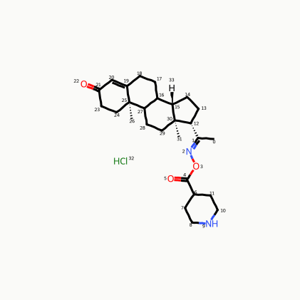 CC(=NOC(=O)C1CCNCC1)[C@H]1CC[C@H]2C3CCC4=CC(=O)CC[C@]4(C)C3CC[C@]12C.Cl